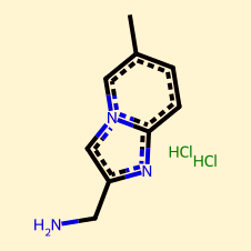 Cc1ccc2nc(CN)cn2c1.Cl.Cl